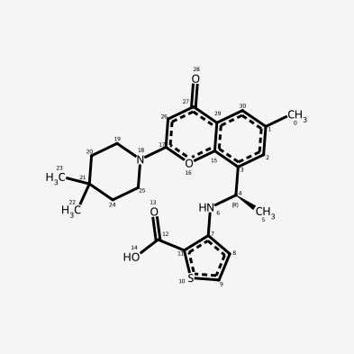 Cc1cc([C@@H](C)Nc2ccsc2C(=O)O)c2oc(N3CCC(C)(C)CC3)cc(=O)c2c1